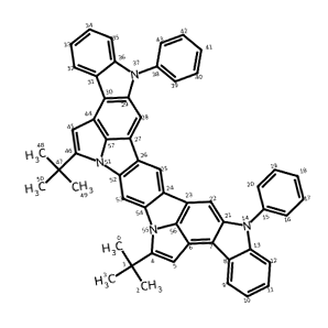 CC(C)(C)c1cc2c3c4ccccc4n(-c4ccccc4)c3cc3c4cc5c6cc7c(c8ccccc8n7-c7ccccc7)c7cc(C(C)(C)C)n(c5cc4n1c32)c67